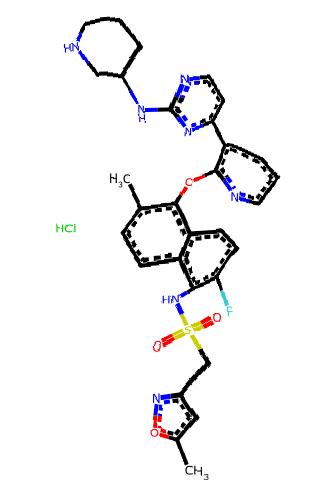 Cc1cc(CS(=O)(=O)Nc2c(F)ccc3c(Oc4ncccc4-c4ccnc(NC5CCCNC5)n4)c(C)ccc23)no1.Cl